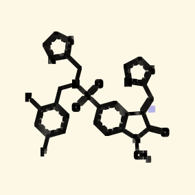 CN1C(=O)/C(=C/c2nccs2)c2cc(S(=O)(=O)N(Cc3nccs3)Cc3ccc(F)cc3F)ccc21